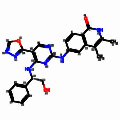 Cc1[nH]c(=O)c2ccc(Nc3ncc(-c4nnco4)c(N[C@H](CO)c4ccccc4)n3)cc2c1C